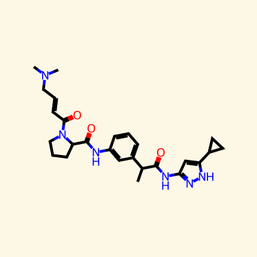 CC(C(=O)Nc1cc(C2CC2)[nH]n1)c1cccc(NC(=O)C2CCCN2C(=O)C=CCN(C)C)c1